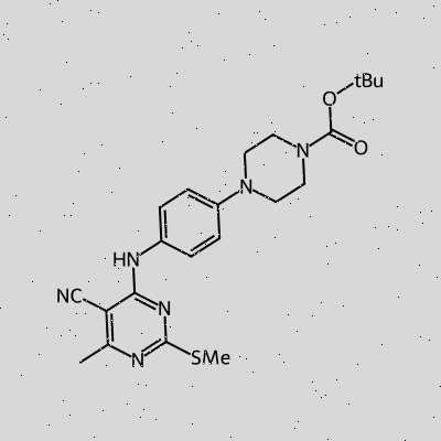 CSc1nc(C)c(C#N)c(Nc2ccc(N3CCN(C(=O)OC(C)(C)C)CC3)cc2)n1